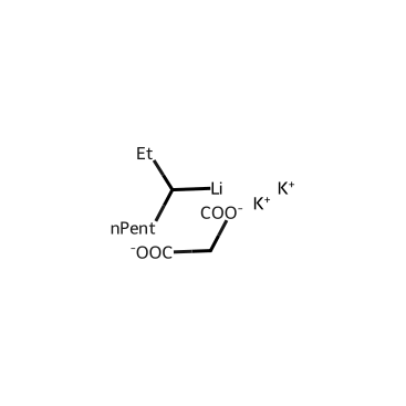 O=C([O-])CC(=O)[O-].[K+].[K+].[Li][CH](CC)CCCCC